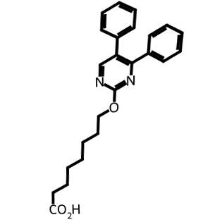 O=C(O)CCCCCCCOc1ncc(-c2ccccc2)c(-c2ccccc2)n1